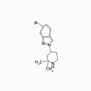 CC1(C)CC(n2cc3ccc(Br)cc3n2)CCN1